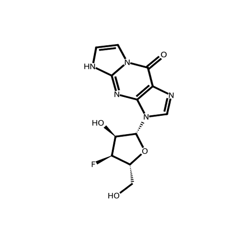 O=c1c2ncn([C@@H]3O[C@H](CO)[C@@H](F)[C@H]3O)c2nc2[nH]ccn12